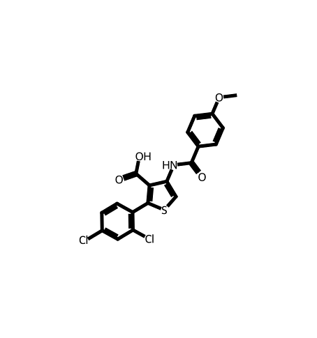 COc1ccc(C(=O)Nc2csc(-c3ccc(Cl)cc3Cl)c2C(=O)O)cc1